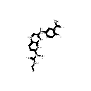 CCNC(=O)N(S)c1ccc2ncc(Nc3ccc(Cl)c(C(=O)O)c3)nc2n1